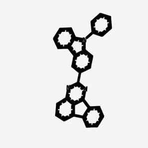 c1ccc(-n2c3ccccc3c3cc(-c4nc5c6c(cccc6n4)-c4ccccc4-5)ccc32)cc1